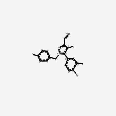 Cc1ccc(Cn2nc(C=O)c(C)c2-c2ccc(Cl)c(C)c2)cc1